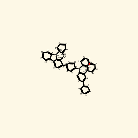 c1ccc(-c2ccc(N(c3ccccc3)c3ccc(-c4ccc5c6ccccc6n6c5c4Oc4ccccc4-6)cc3)c(-c3ccccc3)c2)cc1